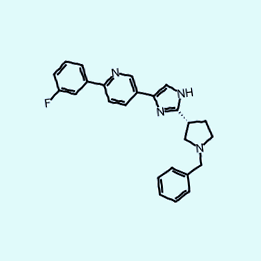 Fc1cccc(-c2ccc(-c3c[nH]c([C@@H]4CCN(Cc5ccccc5)C4)n3)cn2)c1